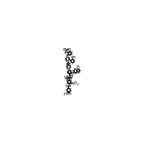 CC(C)c1ccccc1C1CN(Cc2cccc3c2N(C)C(=O)CO3)CCN1C1CC2(CCN(c3ccc(C(=O)NS(=O)(=O)c4ccc(NCC5CCC(C)(O)CC5)c([N+](=O)[O-])c4)c(Oc4cnc5[nH]ccc5c4)c3)CC2)C1